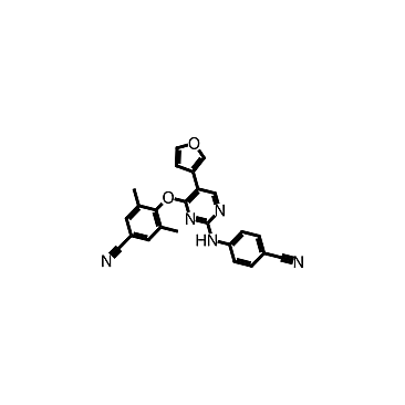 Cc1cc(C#N)cc(C)c1Oc1nc(Nc2ccc(C#N)cc2)ncc1-c1ccoc1